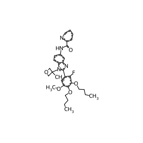 CCCCOc1c(OC)cc(-c2nc3cc(NC(=O)c4ccccn4)ccc3n2C2(C)COC2)c(F)c1OCCCC